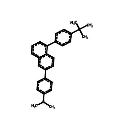 CN(C)c1ccc(-c2ccc3c(-c4ccc(C(C)(C)C)cc4)cccc3c2)cc1